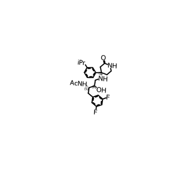 CC(=O)N[C@@H](Cc1cc(F)cc(F)c1)[C@H](O)CN[C@@]1(c2cccc(C(C)C)c2)CCNC(=O)C1